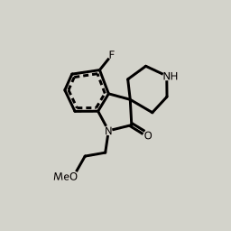 COCCN1C(=O)C2(CCNCC2)c2c(F)cccc21